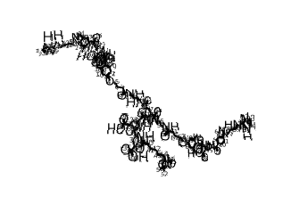 Cc1cc(OCCCC(=O)NCCNC(=O)CCC(NC(=O)[C@H](CCC(=O)O)NC(=O)[C@H](CCC(=O)O)NC(=O)CCCCCN(C=O)OC(C)(C)C)C(=O)NCCNC(=O)CCCOc2cc(C)c(S(=O)(=O)N[C@@H](CNC(=O)c3ccc4c(cnn4CCCNc4ncc[nH]4)c3)C(=O)O)c(C)c2)cc(C)c1S(=O)(=O)N[C@@H](CNC(=O)c1ccc2c(cnn2CCCNc2ncc[nH]2)c1)C(=O)O